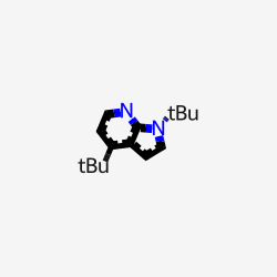 CC(C)(C)c1ccnc2c1ccn2C(C)(C)C